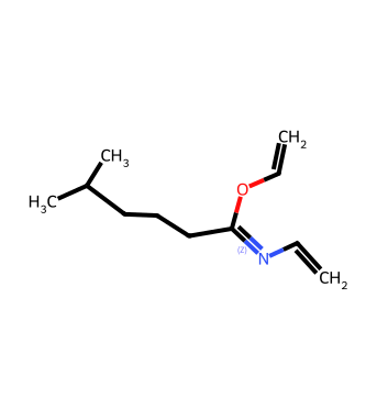 C=C/N=C(/CCCC(C)C)OC=C